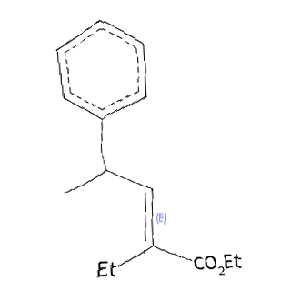 CCOC(=O)/C(=C/C(C)c1ccccc1)CC